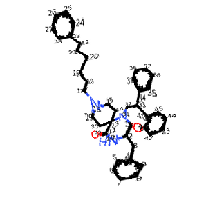 O=C1C(Cc2ccccc2)NC(=O)C2(CCN(CCCCCCc3ccccc3)CC2)N1CC(c1ccccc1)c1ccccc1